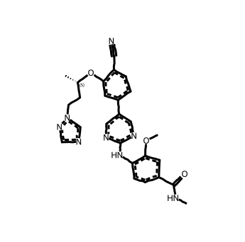 CNC(=O)c1ccc(Nc2ncc(-c3ccc(C#N)c(O[C@@H](C)CCn4cncn4)c3)cn2)c(OC)c1